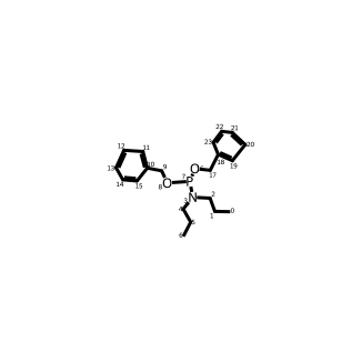 CCCN(CCC)P(OCc1ccccc1)OCc1ccccc1